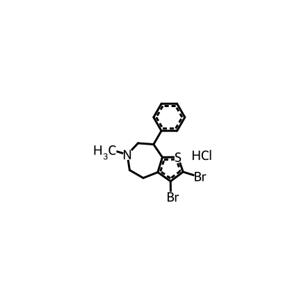 CN1CCc2c(sc(Br)c2Br)C(c2ccccc2)C1.Cl